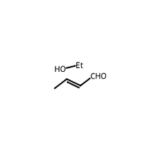 C/C=C/C=O.CCO